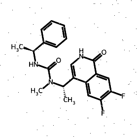 C[C@H](NC(=O)N(C)[C@@H](C)c1c[nH]c(=O)c2cc(F)c(F)cc12)c1ccccc1